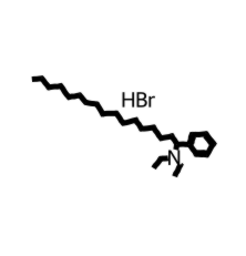 Br.CCCCCCCCCCCCCCCCC(c1ccccc1)N(CC)CC